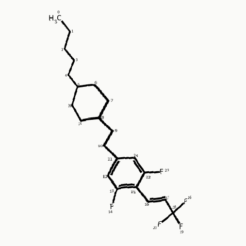 CCCCCC1CCC(CCc2cc(F)c(/C=C/C(F)(F)F)c(F)c2)CC1